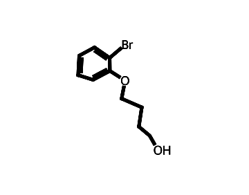 OCCCCOc1ccccc1Br